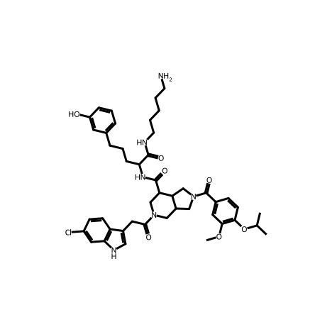 COc1cc(C(=O)N2CC3CN(C(=O)Cc4c[nH]c5cc(Cl)ccc45)CC(C(=O)NC(CCCc4cccc(O)c4)C(=O)NCCCCCN)C3C2)ccc1OC(C)C